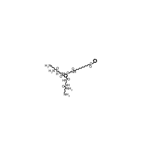 NCCCC(N)C(=O)NCCNC(=O)c1cc(OCCNC(=O)CCCCCCCCCCC(=O)OCc2ccccc2)cc(C(=O)NCCNC(=O)[C@@H](N)CCCN)c1